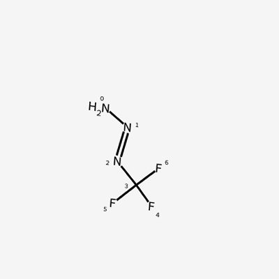 NN=NC(F)(F)F